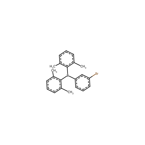 Cc1cccc(C)c1B(c1cccc(Br)c1)c1c(C)cccc1C